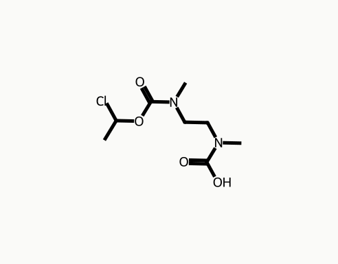 CC(Cl)OC(=O)N(C)CCN(C)C(=O)O